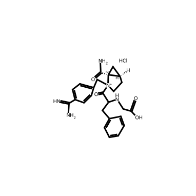 Cl.N=C(N)c1ccc(C[N+]2(C(=O)C(Cc3ccccc3)NCC(=O)O)CC[C@@H]3C[C@@]32C(N)=O)cc1